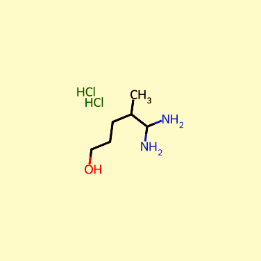 CC(CCCO)C(N)N.Cl.Cl